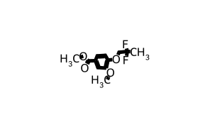 COC(=O)c1ccc(OCC(C)(F)F)c(OC)c1